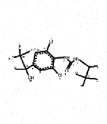 CC(NC(=O)Nc1c(Cl)cc(C(C)(O)C(F)(F)F)cc1Cl)C(C)(C)C